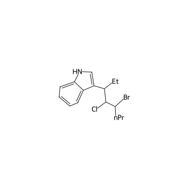 [CH2]CC(c1c[nH]c2ccccc12)C(Cl)C(Br)CCC